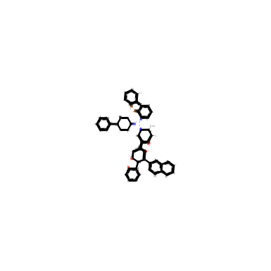 CC1CC(N(c2cccc3c2sc2ccccc23)C2C=c3c(oc4c3=CC3Oc5ccccc5C3C=4c3ccc4ccccc4c3)=C[C@H]2C)CCC1c1ccccc1